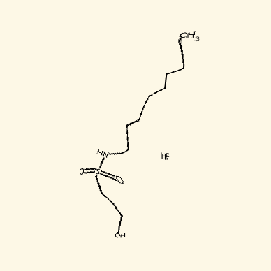 CCCCCCCCNS(=O)(=O)CCO.F